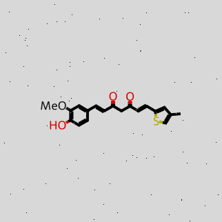 COc1cc(C=CC(=O)CC(=O)C=Cc2cc(C)cs2)ccc1O